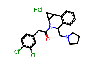 Cl.O=C(Cc1ccc(Cl)c(Cl)c1)N1C(CN2CCCC2)c2ccccc2C2CC21